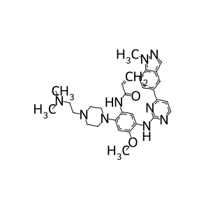 C=CC(=O)Nc1cc(Nc2nccc(-c3ccc4c(cnn4C)c3)n2)c(OC)cc1N1CCN(CCN(C)C)CC1